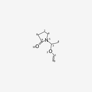 C=COC(C)N1CCCC1=O